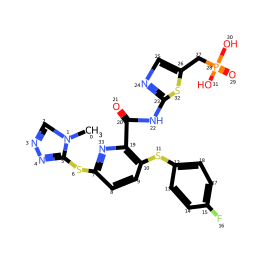 Cn1cnnc1Sc1ccc(Sc2ccc(F)cc2)c(C(=O)Nc2ncc(CP(=O)(O)O)s2)n1